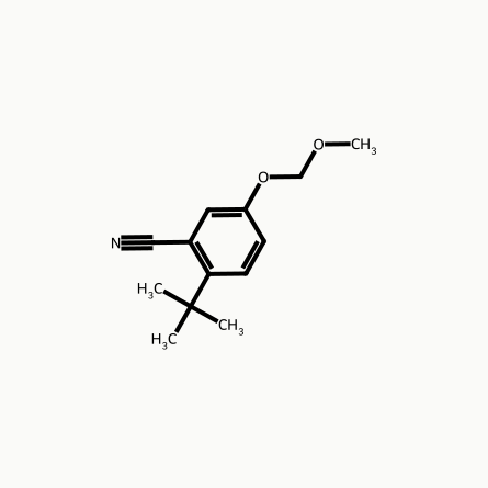 COCOc1ccc(C(C)(C)C)c(C#N)c1